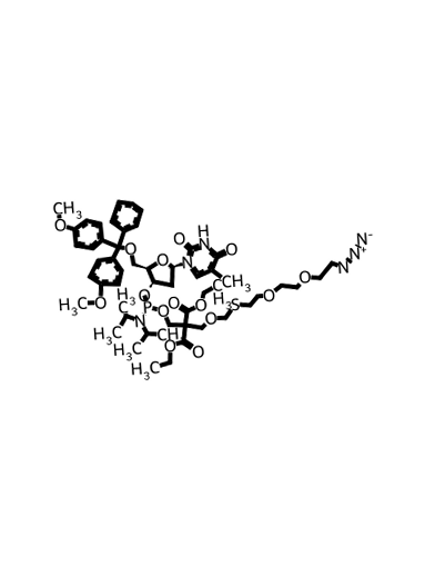 CCOC(=O)C(COCSCCOCCOCCN=[N+]=[N-])(COP(O[C@H]1C[C@H](n2cc(C)c(=O)[nH]c2=O)O[C@@H]1COC(c1ccccc1)(c1ccc(OC)cc1)c1ccc(OC)cc1)N(C(C)C)C(C)C)C(=O)OCC